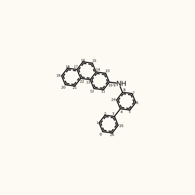 c1ccc(-c2cccc(Nc3ccc4c(ccc5ccccc54)c3)c2)cc1